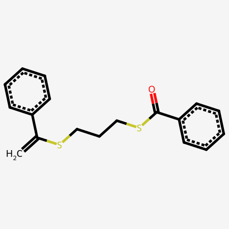 C=C(SCCCSC(=O)c1ccccc1)c1ccccc1